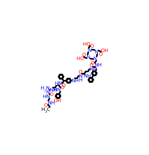 CCC(=O)NCCNC(=O)/N=C(/N)NCCC[C@@H](NC(=O)C(c1ccccc1)c1ccc(NCCCNC(=O)[C@H](N)CCCNC(=O)[C@@H](Cc2ccc(-c3ccccc3)cc2)NC(=O)CN2CCN(CC(=O)O)CCN(CC(=O)O)CCN(CC(=O)O)CC2)cc1)C(=O)NCc1ccc(O)cc1